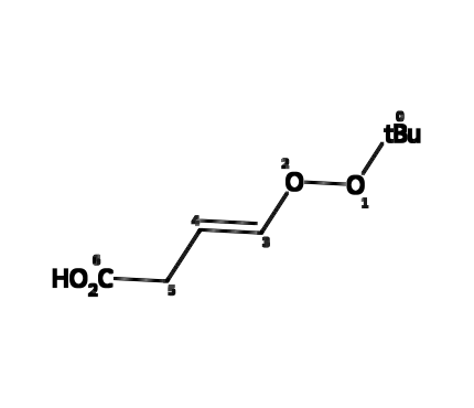 CC(C)(C)OOC=CCC(=O)O